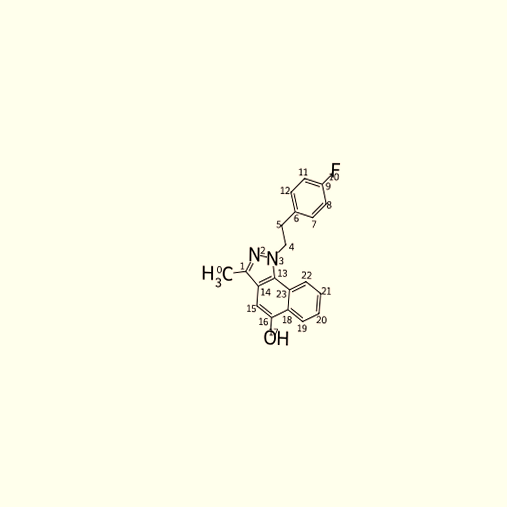 Cc1nn(CCc2ccc(F)cc2)c2c1cc(O)c1ccccc12